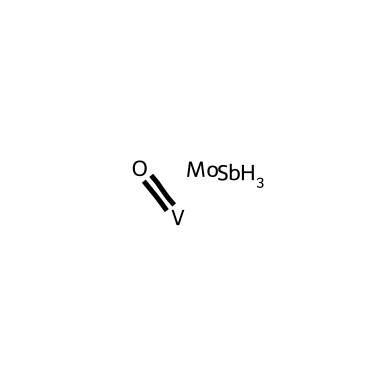 [Mo].[O]=[V].[SbH3]